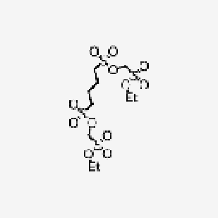 CCOS(=O)(=O)COS(=O)(=O)CCCCS(=O)(=O)OCS(=O)(=O)OCC